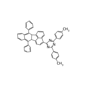 Cc1ccc(-c2nc(-c3ccc(C)cc3)nc(-c3ccc4c5c(cccc35)C3C(c5ccccc5)=c5ccccc5=C(c5ccccc5)C43)n2)cc1